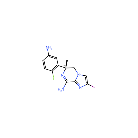 C[C@@]1(c2cc(N)ccc2F)Cn2cc(I)nc2C(N)=N1